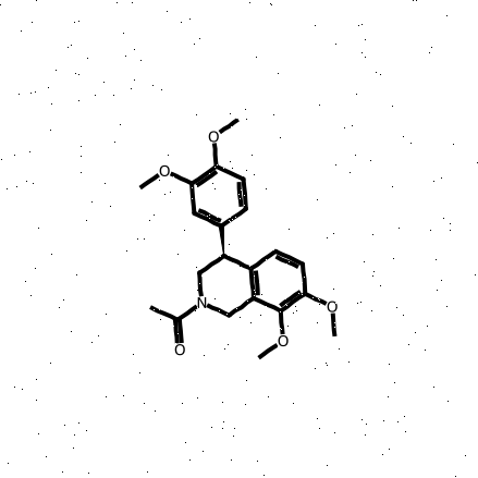 COc1ccc([C@@H]2CN(C(C)=O)Cc3c2ccc(OC)c3OC)cc1OC